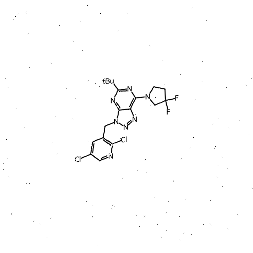 CC(C)(C)c1nc(N2CCC(F)(F)C2)c2nnn(Cc3cc(Cl)cnc3Cl)c2n1